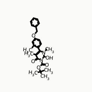 CC1=C(c2ccc(OCc3ccccc3)cc2C)N(C)C(O)N(C(=O)OC(C)(C)C)C1=O